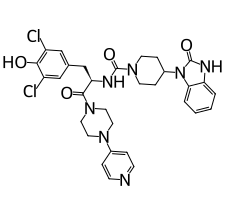 O=C(N[C@H](Cc1cc(Cl)c(O)c(Cl)c1)C(=O)N1CCN(c2ccncc2)CC1)N1CCC(n2c(=O)[nH]c3ccccc32)CC1